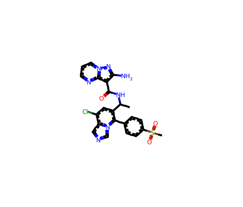 CC(NC(=O)c1c(N)nn2cccnc12)c1cc(Cl)c2cncn2c1-c1ccc(S(C)(=O)=O)cc1